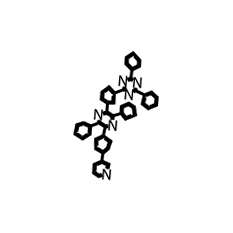 c1ccc(-c2nc(-c3ccccc3)nc(-c3cccc(-c4nc(-c5ccccc5)c(-c5ccc(-c6cccnc6)cc5)nc4-c4ccccc4)c3)n2)cc1